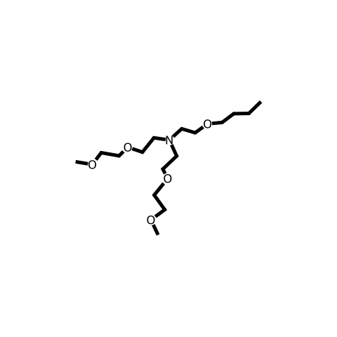 CCCCOCCN(CCOCCOC)CCOCCOC